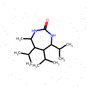 CC(C)C1NC(=O)NC(C)C(C(C)C)C1C(C)C